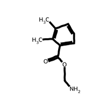 Cc1cccc(C(=O)OCN)c1C